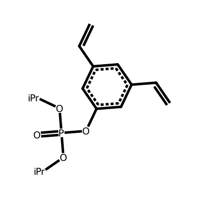 C=Cc1cc(C=C)cc(OP(=O)(OC(C)C)OC(C)C)c1